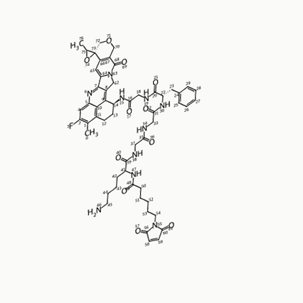 Cc1c(F)cc2nc3c(c4c2c1CC[C@@H]4NC(=O)CNC(=O)[C@H](Cc1ccccc1)NC(=O)CNC(=O)CNC(=O)C(CCCCN)NC(=O)CCCCCN1C(=O)C=CC1=O)Cn1c-3cc2c(c1=O)COC[C@@]21OC1C